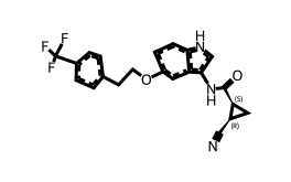 N#C[C@@H]1C[C@@H]1C(=O)Nc1c[nH]c2ccc(OCCc3ccc(C(F)(F)F)cc3)cc12